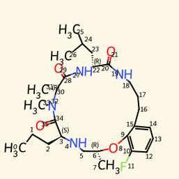 CCC[C@@H]1NC[C@@H](C)Oc2c(F)cccc2CCCNC(=O)[C@@H](CC(C)C)NC(=O)[C@@H](C)N(C)C1=O